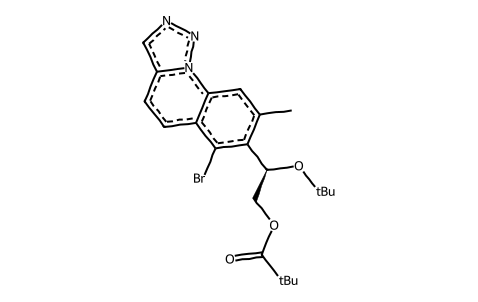 Cc1cc2c(ccc3cnnn32)c(Br)c1[C@H](COC(=O)C(C)(C)C)OC(C)(C)C